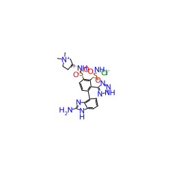 C[N+]1(C)CC[C@@H](NS(=O)(=O)c2ccc(-c3cccc4[nH]c(N)nc34)c(-c3nn[nH]n3)c2S(N)(=O)=O)C1.[Cl-]